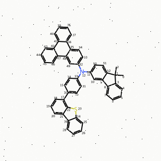 CC1(C)c2ccccc2-c2cc(N(c3ccc(-c4cccc5c4sc4ccccc45)cc3)c3ccc4c5ccccc5c5ccccc5c4c3)ccc21